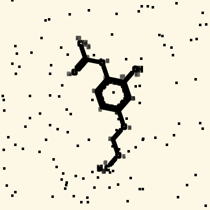 COCOc1ccc(OC(C)=O)c(O)c1